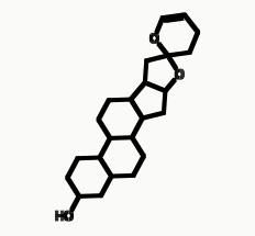 OC1CCC2C(CCC3C2CCC2C4CC5(CCC=CO5)OC4CC23)C1